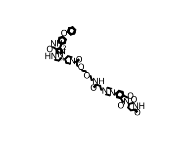 NC(=O)c1c(-c2ccc(Oc3ccccc3)cc2)nn2c1NCC[C@H]2C1CCN(C(=O)COCCOCCNC(=O)CCN2CCN(c3ccc4c(c3)C(=O)N(C3CCC(=O)NC3=O)C4=O)CC2)CC1